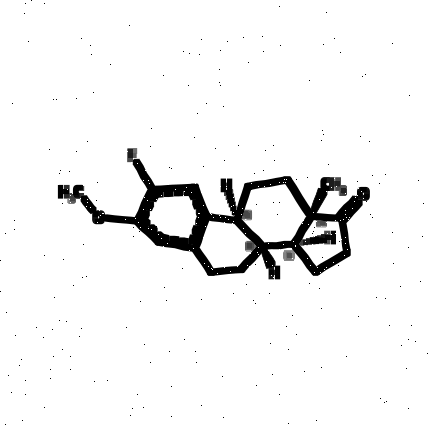 COc1cc2c(cc1F)[C@H]1CC[C@]3(C)C(=O)CC[C@H]3[C@@H]1CC2